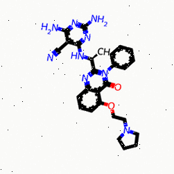 C[C@H](Nc1nc(N)nc(N)c1C#N)c1nc2cccc(OCCN3CCCC3)c2c(=O)n1-c1ccccc1